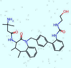 CC1c2ccccc2N(Cc2ccc(-c3ccccc3NC(=O)NCCO)cc2)C(=O)C(NC(=O)CC(C)(C)N)C1C